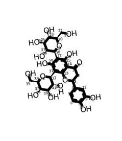 O=C1CC(c2ccc(O)c(O)c2)Oc2c1c(O)c([C@@H]1O[C@H](CO)[C@@H](O)[C@H](O)[C@H]1O)c(O)c2[C@@H]1O[C@H](CO)[C@@H](O)[C@H](O)[C@H]1O